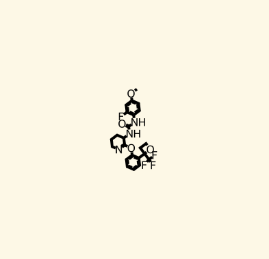 COc1ccc(NC(=O)NC2CCCN=C2Oc2ccccc2C2(C(F)(F)F)CCO2)c(F)c1